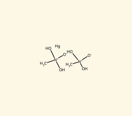 C[N+]([O-])(O)O.C[N+]([O-])(O)O.[Hg]